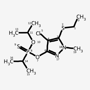 CCSc1c(Cl)c(OP(=S)(OC(C)C)C(C)C)nn1C